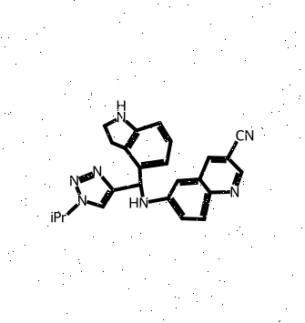 CC(C)n1cc(C(Nc2ccc3ncc(C#N)cc3c2)c2cccc3c2CCN3)nn1